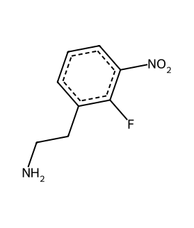 NCCc1cccc([N+](=O)[O-])c1F